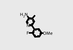 COc1ccc(F)c(-c2cc(C)c(N)cn2)c1